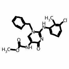 COC(=O)Nc1cn(Cc2ccccc2)c(Nc2cccc(Cl)c2C)nc1=O